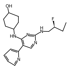 CC[C@H](F)CNc1ncc(-c2ccccn2)c(NC2CCC(O)CC2)n1